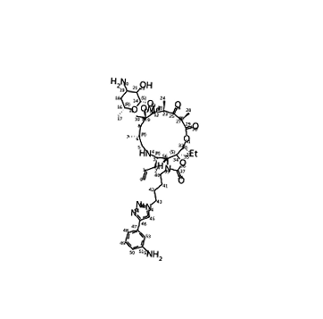 C=CC[C@H]1NC[C@H](C)C[C@@](C)(OC)[C@H](O[C@@H]2O[C@H](C)CC(N)C2O)[C@@H](C)C(=O)[C@@H](C)C(=O)O[C@H](CC)[C@@]2(C)OC(=O)N(CCCCn3cc(-c4cccc(N)c4)nn3)[C@H]12